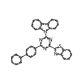 c1ccc(-c2ccc(-c3nc(-c4nc5ccccc5s4)nc(-n4c5ccccc5c5ccccc54)n3)cc2)cc1